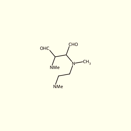 CNCCN(C)C(C=O)C(C=O)NC